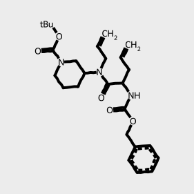 C=CCC(NC(=O)OCc1ccccc1)C(=O)N(CC=C)C1CCCN(C(=O)OC(C)(C)C)C1